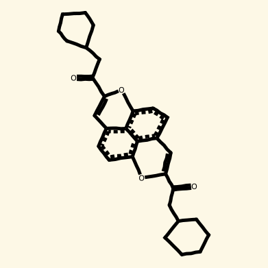 O=C(CC1CCCCC1)C1=Cc2ccc3c4c(ccc(c24)O1)C=C(C(=O)CC1CCCCC1)O3